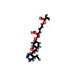 C=C(C)C(=O)OCCCCC(O)COc1ccc2cc(-c3cnccc3CC)oc2c1